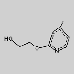 Cc1ccnc(OCCO)c1